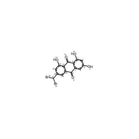 O=C1c2cc(O)cc(O)c2C(=O)c2c(O)cc(C(Br)Br)cc21